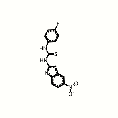 O=[N+]([O-])c1ccc2nc(NC(=S)Nc3ccc(F)cc3)sc2c1